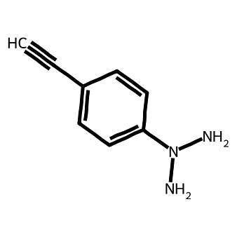 C#Cc1ccc(N(N)N)cc1